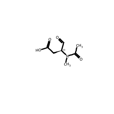 CC(=O)N(C)[C@H]([C]=O)CC(=O)O